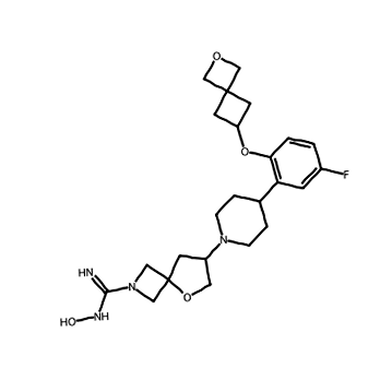 N=C(NO)N1CC2(CC(N3CCC(c4cc(F)ccc4OC4CC5(COC5)C4)CC3)CO2)C1